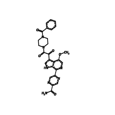 COc1cnc(-c2cnc(C(N)=O)cn2)c2[nH]cc(C(=O)C(=O)N3CCN(C(=O)c4ccccc4)CC3)c12